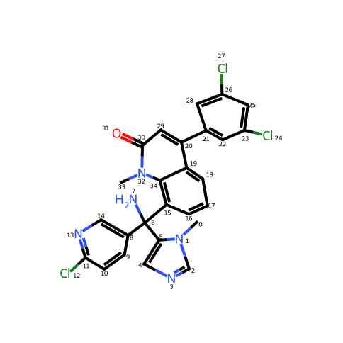 Cn1cncc1C(N)(c1ccc(Cl)nc1)c1cccc2c(-c3cc(Cl)cc(Cl)c3)cc(=O)n(C)c12